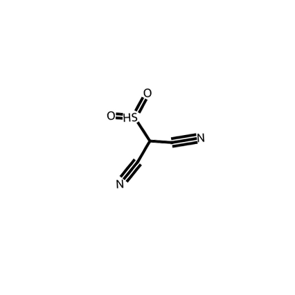 N#CC(C#N)[SH](=O)=O